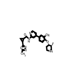 Cc1nnc(C2CC2C(=O)Nc2cc(-c3ccc(O[C@H]4CCNC[C@H]4F)c(C#N)c3)ccn2)o1